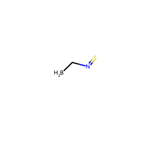 BCN=S